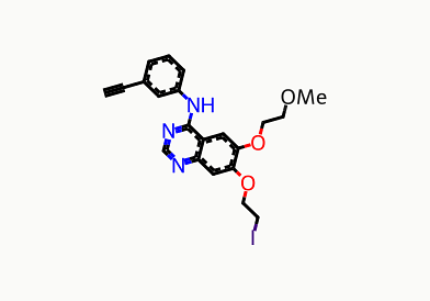 C#Cc1cccc(Nc2ncnc3cc(OCCI)c(OCCOC)cc23)c1